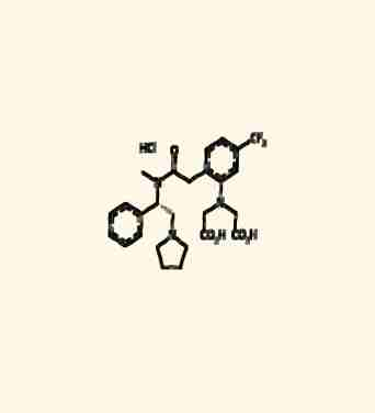 CN(C(=O)Cc1ccc(C(F)(F)F)cc1N(CC(=O)O)CC(=O)O)[C@H](CN1CCCC1)c1ccccc1.Cl